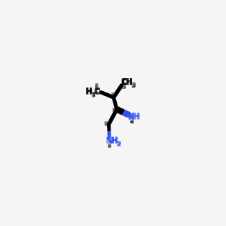 CC(C)C(=N)CN